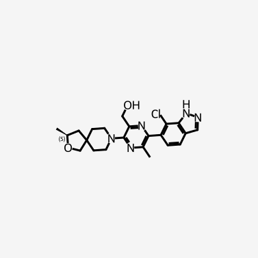 Cc1nc(N2CCC3(CC2)CO[C@@H](C)C3)c(CO)nc1-c1ccc2cn[nH]c2c1Cl